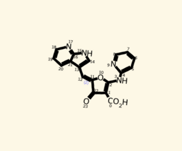 O=C(O)C1=C(Nc2ccccn2)O/C(=C\c2c[nH]c3ncccc23)C1=O